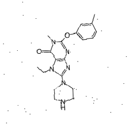 CCn1c(N2CCNCC2)nc2nc(Oc3cccc(C)c3)n(C)c(=O)c21